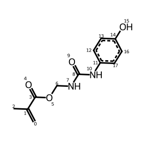 C=C(C)C(=O)OCNC(=O)Nc1ccc(O)cc1